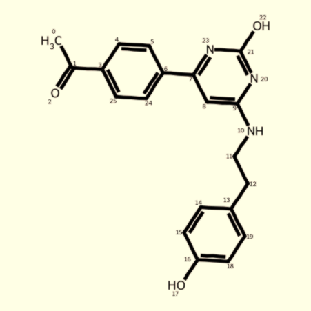 CC(=O)c1ccc(-c2cc(NCCc3ccc(O)cc3)nc(O)n2)cc1